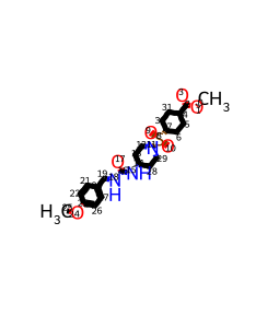 COC(=O)C1CCC(S(=O)(=O)N2CCC(NC(=O)NCc3ccc(OC)cc3)CC2)CC1